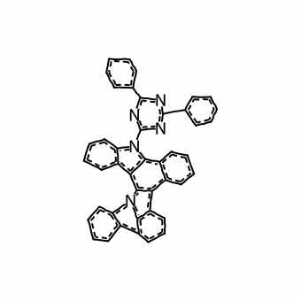 c1ccc(-c2nc(-c3ccccc3)nc(-n3c4ccccc4c4c3c3ccccc3c3c5cccc6c7ccccc7n(c65)c34)n2)cc1